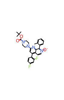 Cc1ccccc1-c1c2nc(N3CCN(C(=O)OC(C)(C)C)CC3)cc(-c3ccc(F)cc3F)c2cc[n+]1[O-]